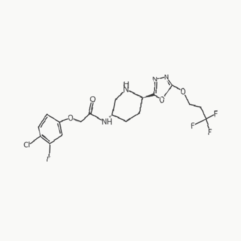 O=C(COc1ccc(Cl)c(F)c1)N[C@H]1CC[C@H](c2nnc(OCCC(F)(F)F)o2)NC1